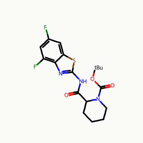 CC(C)(C)OC(=O)N1CCCCC1C(=O)Nc1nc2c(F)cc(F)cc2s1